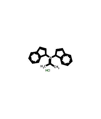 C[C](C)=[Zr]([CH]1C=Cc2ccccc21)[CH]1C=Cc2ccccc21.Cl